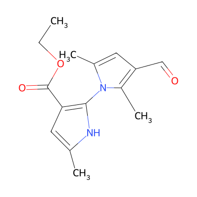 CCOC(=O)c1cc(C)[nH]c1-n1c(C)cc(C=O)c1C